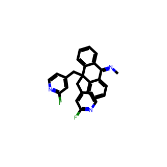 CN=C1c2ccccc2C(Cc2ccnc(F)c2)(Cc2ccnc(F)c2)c2ccccc21